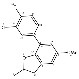 [CH2]C1Cc2cc(OC)cc(-c3ccc(F)c(Cl)c3)c2O1